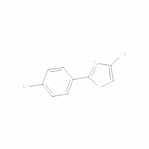 Oc1ccc(-c2nc(O)cs2)cc1